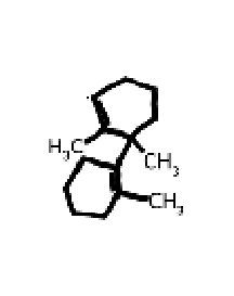 CC1=[C]CCCC1(C)C1=C(C)CCCC1